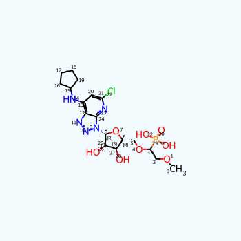 COCC(OC[C@H]1O[C@@H](n2nnc3c(NC4CCCC4)cc(Cl)nc32)[C@H](O)[C@@H]1O)P(=O)(O)O